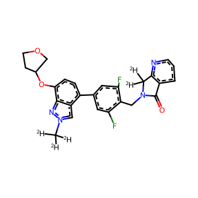 [2H]C1([2H])c2ncccc2C(=O)N1Cc1c(F)cc(-c2ccc(OC3CCOC3)c3nn(C([2H])([2H])[2H])cc23)cc1F